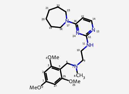 COc1cc(OC)c(CN(C)CCNc2nccc(N3CCCCCC3)n2)c(OC)c1